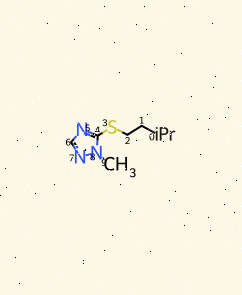 CC(C)CCSc1ncnn1C